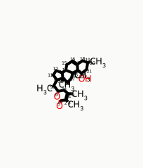 CC1=C(C)C(=O)OC([C@@H](C)C2CCC3C4CC=C5CC(C)C[C@H](O)C5(C)C4CCC32C)C1